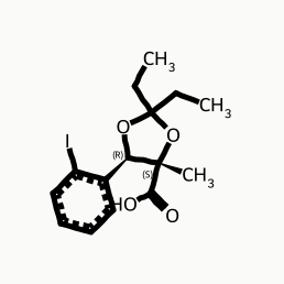 CCC1(CC)O[C@H](c2ccccc2I)[C@@](C)(C(=O)O)O1